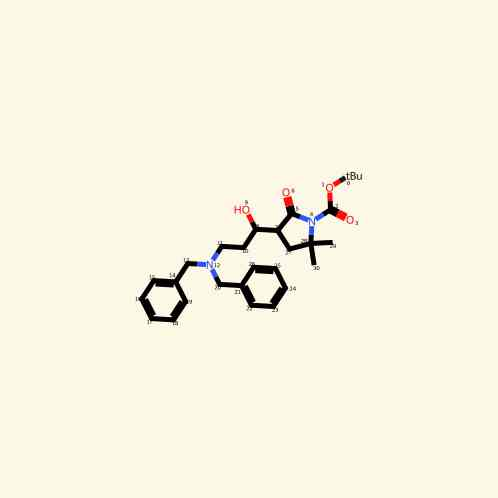 CC(C)(C)OC(=O)N1C(=O)C(C(O)CCN(Cc2ccccc2)Cc2ccccc2)CC1(C)C